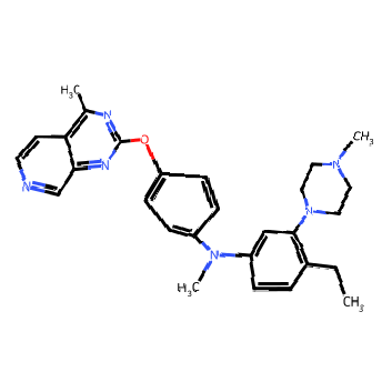 CCc1ccc(N(C)c2ccc(Oc3nc(C)c4ccncc4n3)cc2)cc1N1CCN(C)CC1